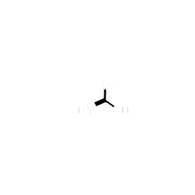 CC(=O)O.[Hg]